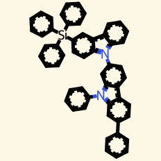 c1ccc(-c2ccc3c4ccc(-n5c6ccccc6c6cc([Si](c7ccccc7)(c7ccccc7)c7ccccc7)ccc65)cc4n(-c4ccccc4)c3c2)cc1